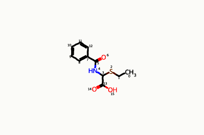 CCSC(NC(=O)c1ccccc1)C(=O)O